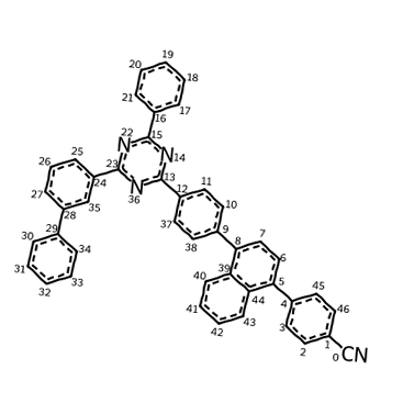 N#Cc1ccc(-c2ccc(-c3ccc(-c4nc(-c5ccccc5)nc(-c5cccc(-c6ccccc6)c5)n4)cc3)c3ccccc23)cc1